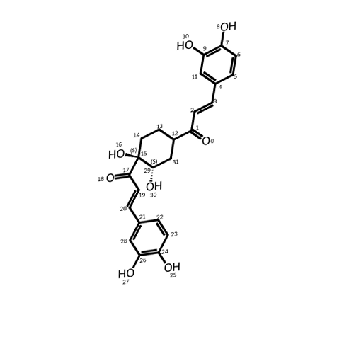 O=C(C=Cc1ccc(O)c(O)c1)C1CC[C@@](O)(C(=O)C=Cc2ccc(O)c(O)c2)[C@@H](O)C1